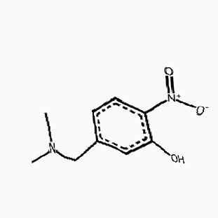 CN(C)Cc1ccc([N+](=O)[O-])c(O)c1